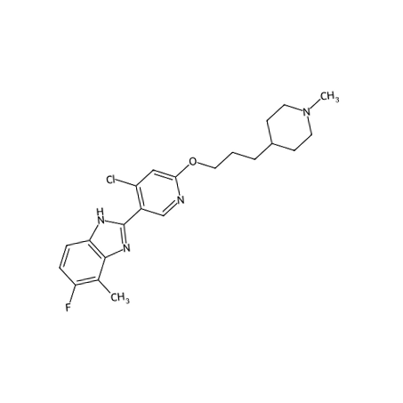 Cc1c(F)ccc2[nH]c(-c3cnc(OCCCC4CCN(C)CC4)cc3Cl)nc12